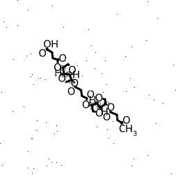 CC(=O)CCC(=O)O[C@H]1CO[C@H]2[C@@H]1OC[C@H]2OC(=O)CCC(=O)O[C@H]1CO[C@H]2[C@@H]1OC[C@H]2OC(=O)CCC(=O)O